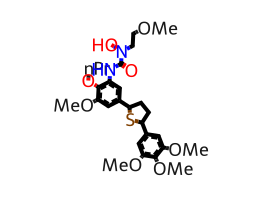 CCCOc1c(NC(=O)N(O)CCOC)cc(C2CCC(c3cc(OC)c(OC)c(OC)c3)S2)cc1OC